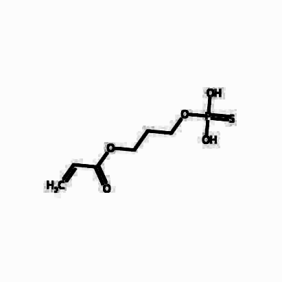 C=CC(=O)OCCCOP(O)(O)=S